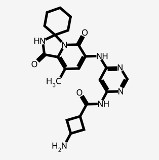 Cc1cc(Nc2cc(NC(=O)C3CC(N)C3)ncn2)c(=O)n2c1C(=O)NC21CCCCC1